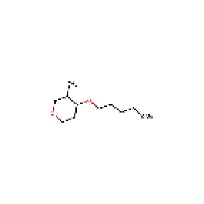 COCCCCOC1CCOCC1C